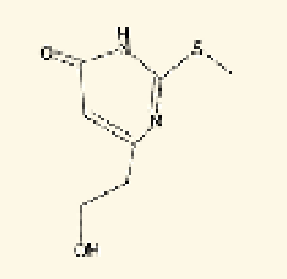 CSc1nc(CCO)cc(=O)[nH]1